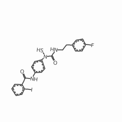 O=C(Nc1ccc(N(S)C(=O)NCCc2ccc(F)cc2)cc1)c1ccccc1I